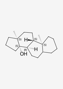 C[C@@]12CCC[C@]1(O)[C@@H]1CCC3CCCC[C@]3(C)[C@H]1CC2